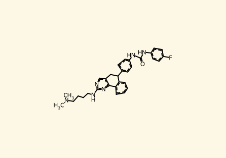 CN(C)CCCCNc1ncc2c(n1)-c1ccccc1C(c1ccc(NC(=O)Nc3ccc(F)cc3)cc1)C2